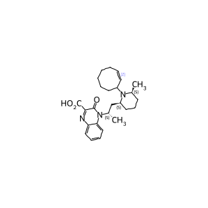 C[C@H]1CCC[C@@H](C[C@H](C)n2c(=O)c(C(=O)O)nc3ccccc32)N1C1/C=C\CCCCC1